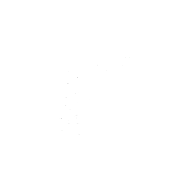 FC(F)(COCCCCBr)OC(F)(F)C(F)(F)OC(F)(F)C(F)(F)F